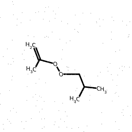 C=C(C)OOCC(C)C